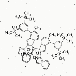 Cc1ccc2c(c1-c1cc([Si](C)(C)C)cc([Si](C)(C)C)c1)C=C(c1occ3ccccc13)[CH]2[Zr]([Cl])([Cl])([CH]1C(c2occ3ccccc23)=Cc2c1ccc(C)c2-c1cc([Si](C)(C)C)cc([Si](C)(C)C)c1)=[Si](C)C